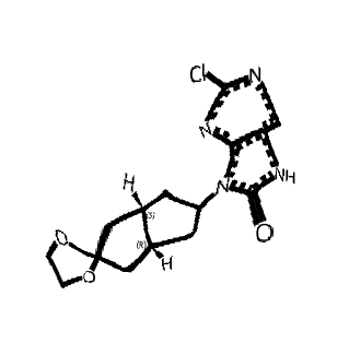 O=c1[nH]c2cnc(Cl)nc2n1C1C[C@@H]2CC3(C[C@@H]2C1)OCCO3